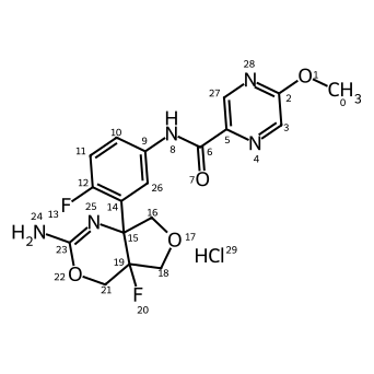 COc1cnc(C(=O)Nc2ccc(F)c(C34COCC3(F)COC(N)=N4)c2)cn1.Cl